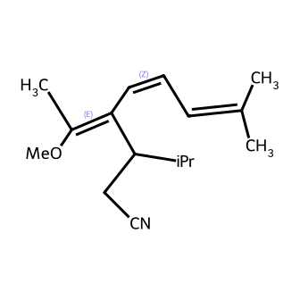 CO/C(C)=C(/C=C\C=C(C)C)C(CC#N)C(C)C